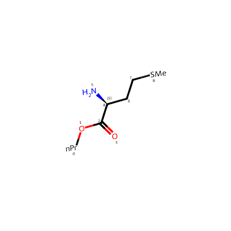 CCCOC(=O)[C@@H](N)CCSC